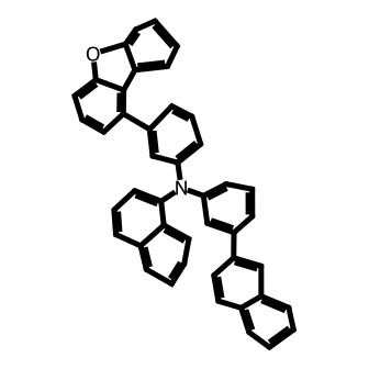 c1cc(-c2ccc3ccccc3c2)cc(N(c2cccc(-c3cccc4oc5ccccc5c34)c2)c2cccc3ccccc23)c1